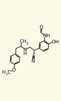 COc1ccc(CC(C)NCC(C#N)c2ccc(O)c(NC=O)c2)cc1